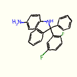 Nc1ccc(NC(c2ccccc2)(c2ccccc2)c2cc(F)ccc2F)cc1